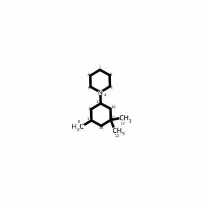 CC1CC(N2CCCCC2)CC(C)(C)C1